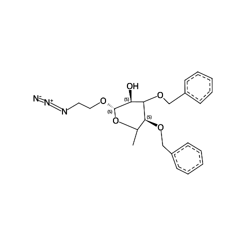 CC1O[C@H](OCCN=[N+]=[N-])[C@@H](O)C(OCc2ccccc2)[C@H]1OCc1ccccc1